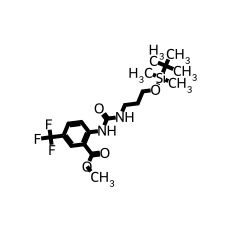 COC(=O)c1cc(C(F)(F)F)ccc1NC(=O)NCCCO[Si](C)(C)C(C)(C)C